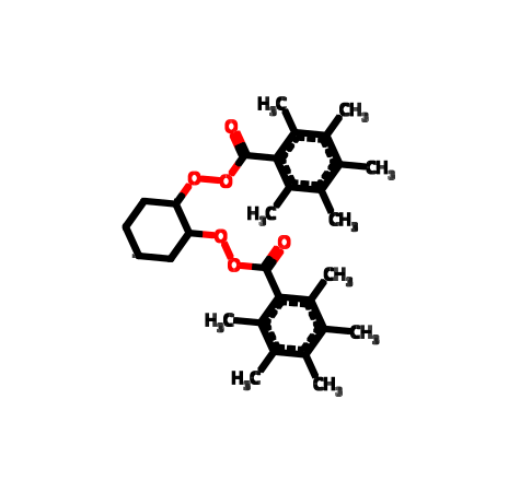 Cc1c(C)c(C)c(C(=O)OO[C]2CC[CH]CC2OOC(=O)c2c(C)c(C)c(C)c(C)c2C)c(C)c1C